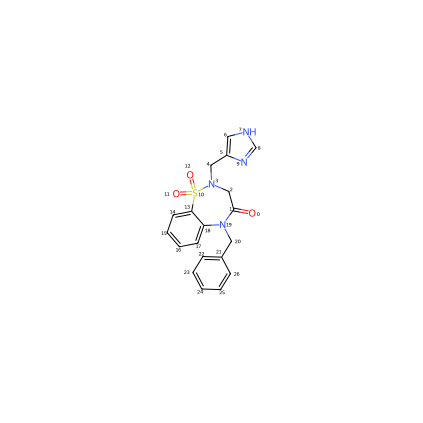 O=C1CN(Cc2c[nH]cn2)S(=O)(=O)c2ccccc2N1Cc1ccccc1